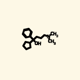 CN(C)CCCC(O)(c1ccccc1)C1CCCC1